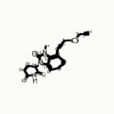 C#CCOCC#Cc1cccc2c1n(C)c(=O)n2C1CCC(=O)NC1=O